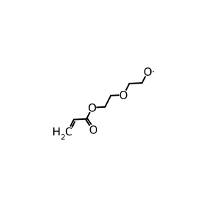 C=CC(=O)OCCOCC[O]